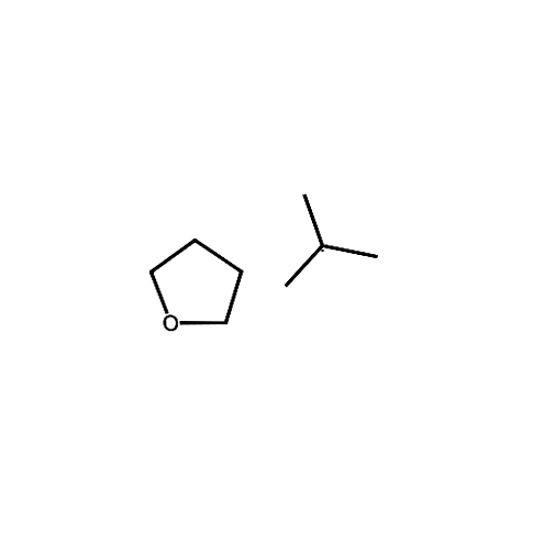 C1CCOC1.C[C](C)C